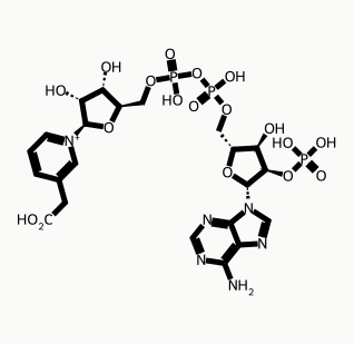 Nc1ncnc2c1ncn2[C@@H]1O[C@H](COP(=O)(O)OP(=O)(O)OC[C@H]2O[C@@H]([n+]3cccc(CC(=O)O)c3)[C@H](O)[C@@H]2O)[C@@H](O)[C@H]1OP(=O)(O)O